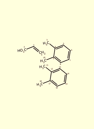 C=CC(=O)O.Cc1ccccc1C.Cc1ccccc1C